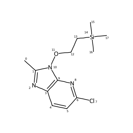 Cc1nc2ccc(Cl)nc2n1OCC[Si](C)(C)C